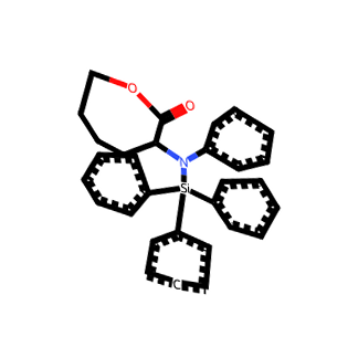 O=C1OCCCCC1N(c1ccccc1)[Si](c1ccccc1)(c1ccccc1)c1ccccc1